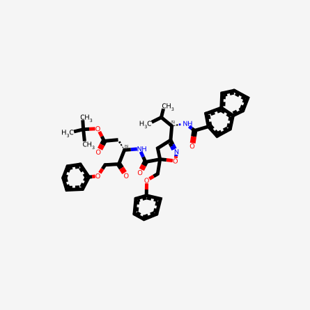 CC(C)[C@H](NC(=O)c1ccc2ccccc2c1)C1=NOC(COc2ccccc2)(C(=O)N[C@@H](CC(=O)OC(C)(C)C)C(=O)COc2ccccc2)C1